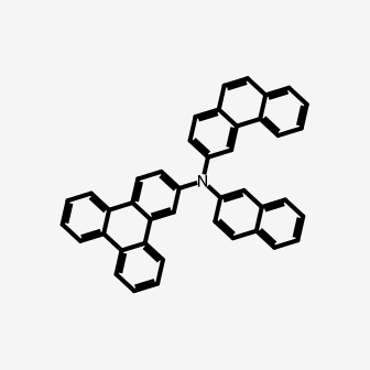 c1ccc2cc(N(c3ccc4ccc5ccccc5c4c3)c3ccc4c5ccccc5c5ccccc5c4c3)ccc2c1